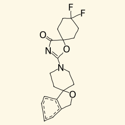 O=C1N=C(N2CCC3(CC2)OCc2ccccc23)OC12CCC(F)(F)CC2